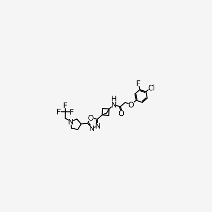 O=C(COc1ccc(Cl)c(F)c1)NC12CC(c3nnc(C4CCN(CC(F)(F)F)C4)o3)(C1)C2